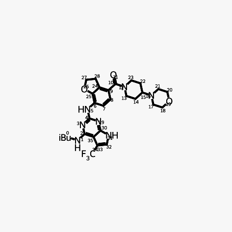 CCC(C)Nc1nc(Nc2ccc(C(=O)N3CCC(N4CCOCC4)CC3)c3c2OCC3)nc2[nH]cc(C(F)(F)F)c12